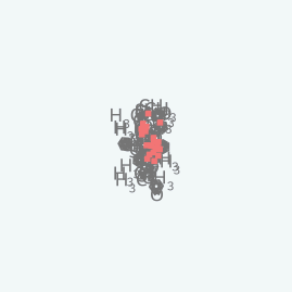 C[Si](C)(C)O[SiH](CCC1CCC2OC2C1)O[Si](C)(C)O[Si]1(C)O[Si]2(c3ccccc3)O[Si]3(c4ccccc4)O[Si]4(c5ccccc5)O[Si](C)(O[Si](C)(C)O[Si](C)(CCC5CCC6OC6C5)O[Si](C)(C)C)O[Si]5(c6ccccc6)O[Si](c6ccccc6)(O[Si](c6ccccc6)(O1)O[Si](c1ccccc1)(O5)O[Si](c1ccccc1)(O2)O4)O3